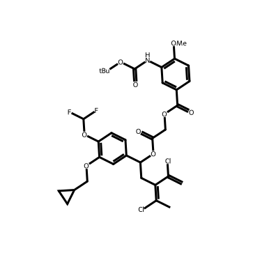 C=C(Cl)/C(CC(OC(=O)COC(=O)c1ccc(OC)c(NC(=O)OC(C)(C)C)c1)c1ccc(OC(F)F)c(OCC2CC2)c1)=C(\C)Cl